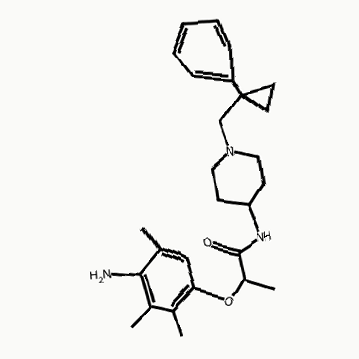 Cc1cc(OC(C)C(=O)NC2CCN(CC3(c4ccccc4)CC3)CC2)c(C)c(C)c1N